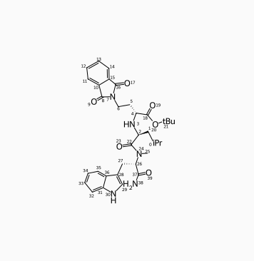 CC(C)C[C@H](N[C@H](CCN1C(=O)c2ccccc2C1=O)C(=O)OC(C)(C)C)C(=O)N(C)[C@@H](Cc1c[nH]c2ccccc12)C(N)=O